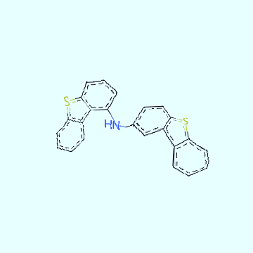 c1ccc2c(c1)sc1ccc(Nc3cccc4sc5ccccc5c34)cc12